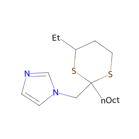 CCCCCCCCC1(Cn2ccnc2)SCCC(CC)S1